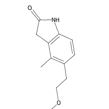 COCCc1ccc2c(c1C)CC(=O)N2